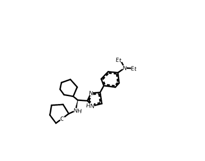 CCN(CC)c1ccc(-c2c[nH]c([C@@H](NC3CCCCC3)C3CCCCC3)n2)cc1